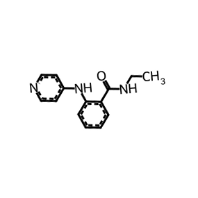 CCNC(=O)c1ccccc1Nc1ccncc1